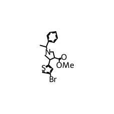 COC(=O)C1CN(C(C)c2ccccc2)CC1c1cc(Br)cs1